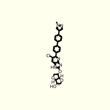 Cn1cc(-c2ccc(-c3ccc(-c4nc5nc(O[C@@H]6CO[C@H]7[C@@H]6OC[C@H]7O)[nH]c5cc4Cl)cc3)cc2)cn1